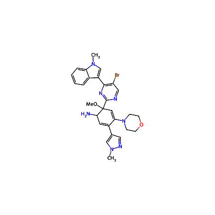 COC1(c2ncc(Br)c(-c3cn(C)c4ccccc34)n2)C=C(N2CCOCC2)C(c2cnn(C)c2)=CC1N